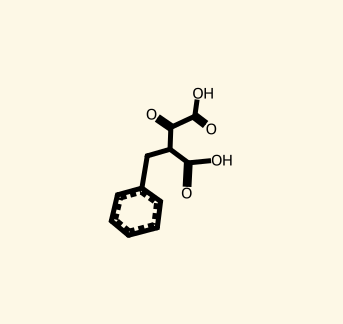 O=C(O)C(=O)C(Cc1ccccc1)C(=O)O